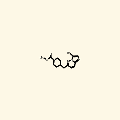 CC(C)(C)OC(=O)N1CCC(Cc2ccc3ncc(Br)n3n2)CC1